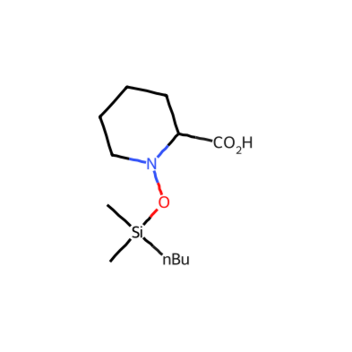 CCCC[Si](C)(C)ON1CCCCC1C(=O)O